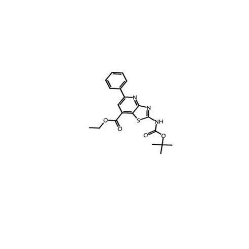 CCOC(=O)c1cc(-c2ccccc2)nc2nc(NC(=O)OC(C)(C)C)sc12